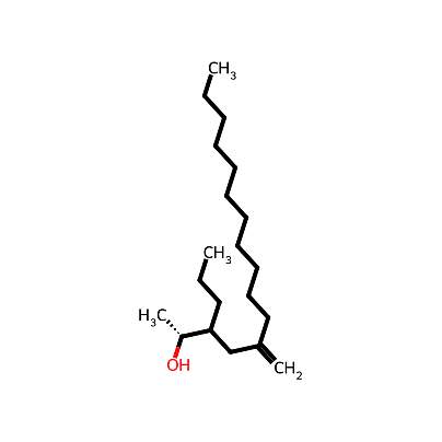 C=C(CCCCCCCCCCC)CC(CCC)[C@@H](C)O